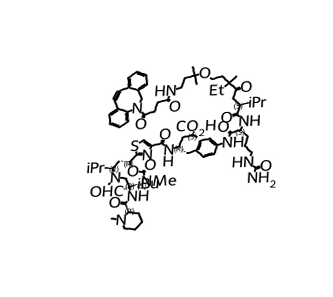 CC[C@H](C)[C@](C=O)(CN(C)[C@H](C[C@@H](OC(=O)NC)c1nc(C(=O)N[C@@H](Cc2ccc(NC(=O)[C@H](CCCNC(N)=O)NC(=O)[C@@H](CC(=O)C(C)(CC)CCOC(C)(C)CCNC(=O)CCC(=O)N3Cc4ccccc4C#Cc4ccccc43)C(C)C)cc2)C[C@H](C)C(=O)O)cs1)C(C)C)NC(=O)[C@H]1CCCCN1C